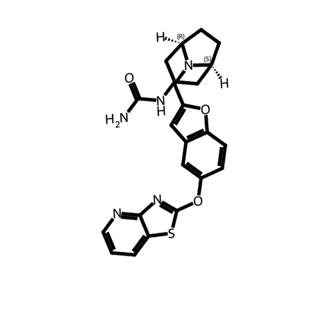 NC(=O)NC1C[C@H]2CC[C@@H](C1)N2Cc1cc2cc(Oc3nc4ncccc4s3)ccc2o1